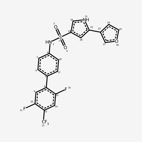 O=S(=O)(Nc1ccc(-c2cc(F)c(C(F)(F)F)cc2F)cc1)c1c[nH]c(-c2ccoc2)c1